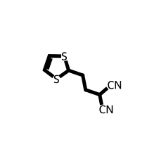 N#CC(C#N)CCC1SC=CS1